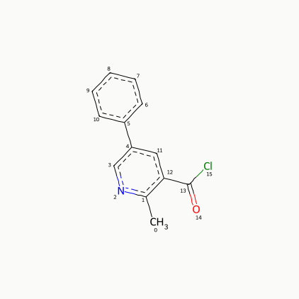 Cc1ncc(-c2ccccc2)cc1C(=O)Cl